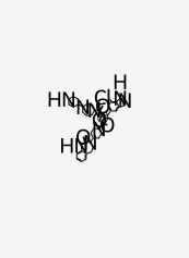 O=C(O[C@H](Cc1cc(Cl)c2[nH]ncc2c1)C(=O)N1CCCN(C2CCNCC2)CC1)N1CCC(N2CCc3ccccc3NC2=O)CC1